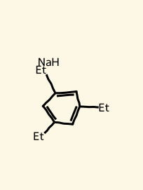 CCc1cc(CC)cc(CC)c1.[NaH]